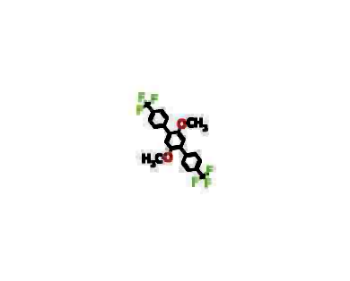 COc1cc(-c2ccc(C(F)(F)F)cc2)c(OC)cc1-c1ccc(C(F)(F)F)cc1